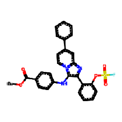 CC(C)(C)OC(=O)c1ccc(Nc2c(-c3ccccc3OS(=O)(=O)F)nc3cc(-c4ccccc4)ccn23)cc1